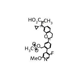 COc1cc(-c2ccc([C@@H]3CCc4ccc([C@H](C5CC5)[C@H](C)C(=O)O)cc4O3)cc2COS(C)(=O)=O)c(F)cn1